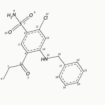 CCC(=O)c1cc(S(N)(=O)=O)c(Cl)cc1NCc1ccccc1